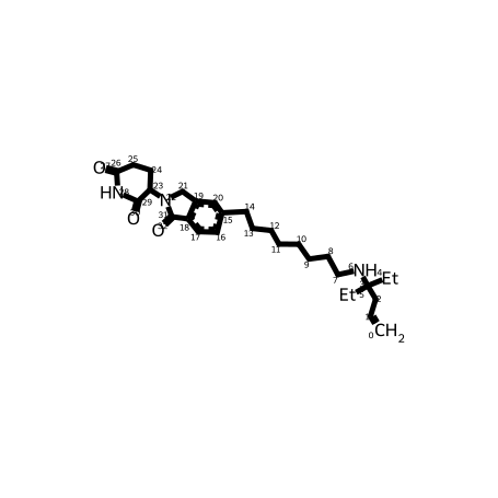 C=CCC(CC)(CC)NCCCCCCCCc1ccc2c(c1)CN(C1CCC(=O)NC1=O)C2=O